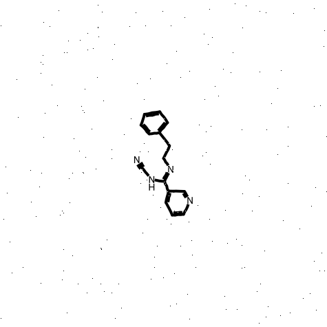 N#CNC(=NCCc1ccccc1)c1cccnc1